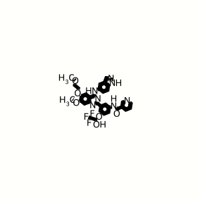 COCCOc1cc2c(Nc3ccc4[nH]ncc4c3)nc(-c3cccc(NC(=O)c4cccnc4)c3)nc2cc1OC.O=C(O)C(F)(F)F